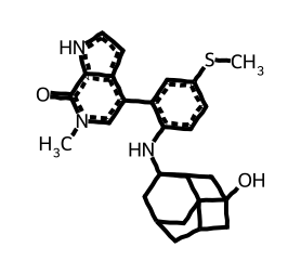 CSc1ccc(NC23CC4CC5CC(O)(C2)C5(C4)C3)c(-c2cn(C)c(=O)c3[nH]ccc23)c1